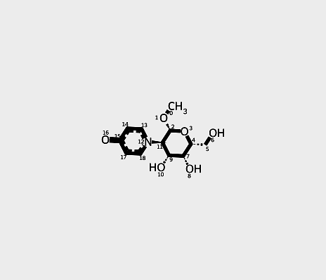 CO[C@@H]1O[C@H](CO)[C@H](O)[C@H](O)[C@H]1n1ccc(=O)cc1